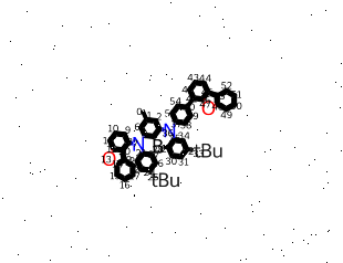 Cc1cc2c3c(c1)N(c1cccc4oc5ccccc5c14)c1ccc(C(C)(C)C)cc1B3c1ccc(C(C)(C)C)cc1N2c1ccc(-c2cccc3c2oc2ccccc23)cc1